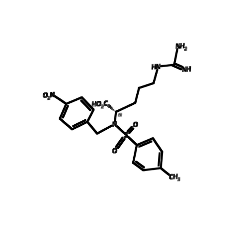 Cc1ccc(S(=O)(=O)N(Cc2ccc([N+](=O)[O-])cc2)[C@@H](CCCNC(=N)N)C(=O)O)cc1